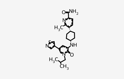 Cc1nc(C(N)=O)ccc1[C@H]1CC[C@@H](Nc2cc(-c3cnsc3)cn(CC(C)C)c2=O)CC1